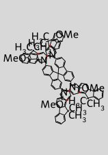 COc1ccc(N(c2ccc3c(c2)C(C)(C)c2ccccc2-3)c2ccc3c(c2)C2(c4cc(N(c5ccc(OC)cc5)c5ccc6c(c5)C(C)(C)c5ccccc5-6)ccc4-3)c3cc(N(c4ccc(OC)cc4)c4ccc5c(c4)C(C)(C)c4ccccc4-5)ccc3-c3ccc(N(c4ccc(OC)cc4)c4ccc5c(c4)C(C)(C)c4ccccc4-5)cc32)cc1